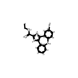 CCOC(=O)c1nc2c(s1)-c1ccccc1Sc1ccc(F)cc1-2